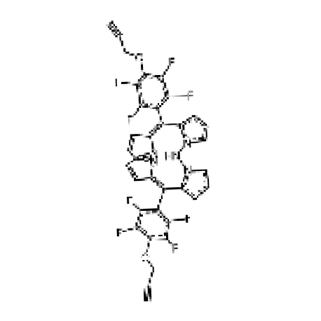 C#CCOc1c(F)c(F)c(/C(=C2\C=CC=N2)c2cccn2Nn2cccc2/C(=C2/C=CC=N2)c2c(F)c(F)c(OCC#C)c(F)c2F)c(F)c1F